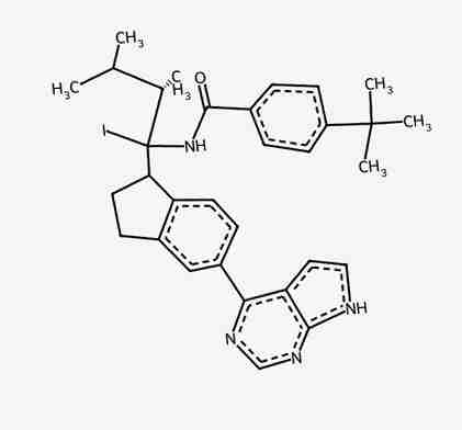 CC(C)[C@H](C)C(I)(NC(=O)c1ccc(C(C)(C)C)cc1)C1CCc2cc(-c3ncnc4[nH]ccc34)ccc21